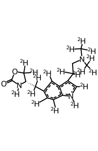 [2H]c1c(C([2H])([2H])[C@@H]2N([2H])C(=O)OC2([2H])[2H])c([2H])c2c(C([2H])([2H])CN(C([2H])([2H])[2H])C([2H])([2H])[2H])c([2H])n([2H])c2c1[2H]